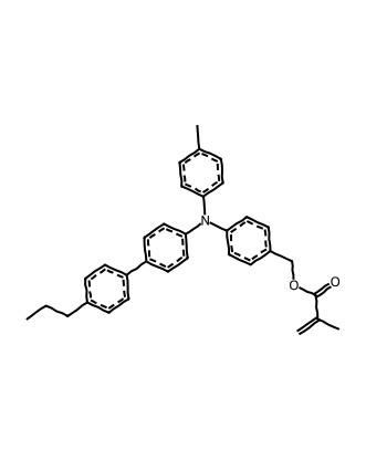 C=C(C)C(=O)OCc1ccc(N(c2ccc(C)cc2)c2ccc(-c3ccc(CCC)cc3)cc2)cc1